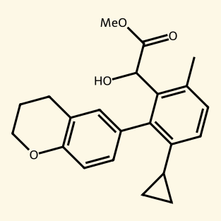 COC(=O)C(O)c1c(C)ccc(C2CC2)c1-c1ccc2c(c1)CCCO2